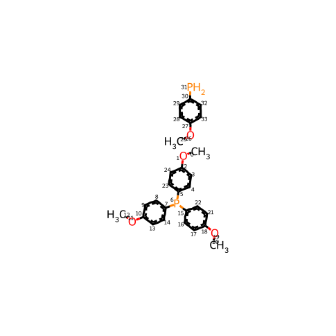 COc1ccc(P(c2ccc(OC)cc2)c2ccc(OC)cc2)cc1.COc1ccc(P)cc1